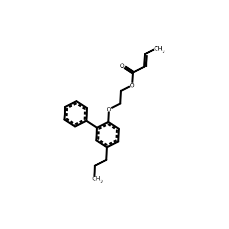 CC=CC(=O)OCCOc1ccc(CCC)cc1-c1ccccc1